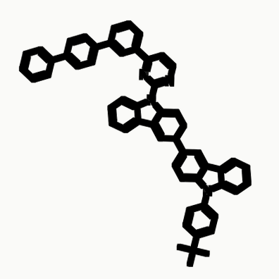 CC(C)(C)c1ccc(-n2c3ccccc3c3cc(C4C=c5c(n(-c6nccc(-c7cccc(-c8ccc(-c9ccccc9)cc8)c7)n6)c6ccccc56)=CC4)ccc32)cc1